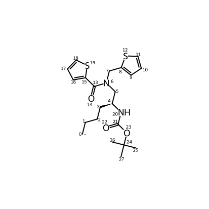 [CH2]CCC[C@@H](CN(Cc1cccs1)C(=O)c1cccs1)NC(=O)OC(C)(C)C